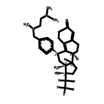 CN(C)CCN(C)Cc1ccc([C@H]2C[C@@]3(C)[C@@H](CC[C@@]3(O)C(F)(F)C(F)(F)F)[C@@H]3CCC4=CC(=O)CCC4=C32)cc1